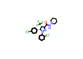 O=C(NN1CCCCC1)C1=NN(c2ccccc2Cl)[C@H](c2ccc(Cl)cc2)[C@@H]1C(F)(F)F